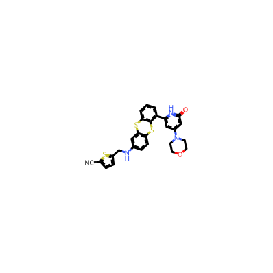 N#Cc1ccc(CNc2ccc3c(c2)Sc2cccc(-c4cc(N5CCOCC5)cc(=O)[nH]4)c2S3)s1